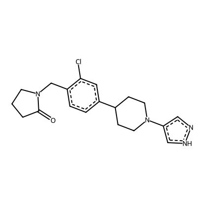 O=C1CCCN1Cc1ccc(C2CCN(c3cn[nH]c3)CC2)cc1Cl